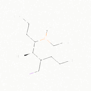 CCCC(CI)[C@@H](C)C(CCC)P(C)CC